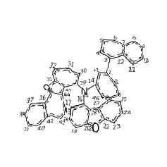 c1cc(-c2cccc3ccccc23)cc(N(c2cccc3oc4ccccc4c23)c2cccc3oc4c5ccccc5ccc4c23)c1